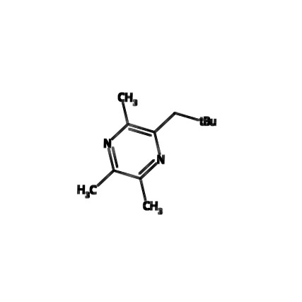 Cc1nc(C)c(CC(C)(C)C)nc1C